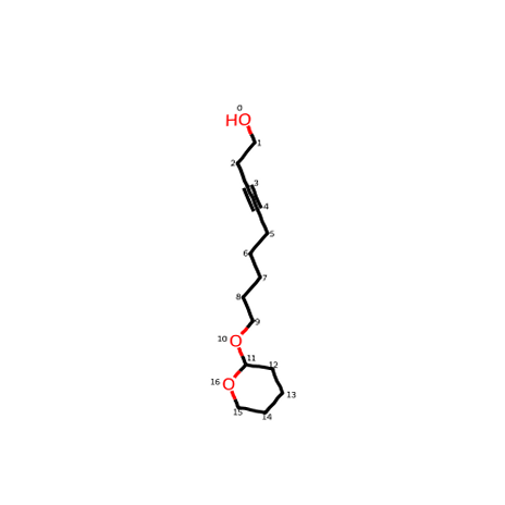 OCCC#CCCCCCOC1CCCCO1